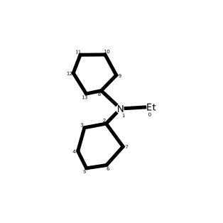 [CH2]CN(C1CCCCC1)C1CCCCC1